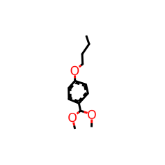 CCCCOc1ccc(C(OC)OC)cc1